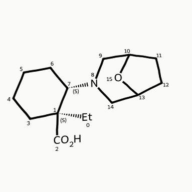 CC[C@]1(C(=O)O)CCCC[C@@H]1N1CC2CCC(C1)O2